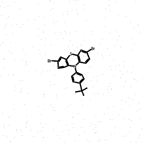 CC(C)(C)c1ccc(N2c3ccc(Br)cc3Sc3cc(Br)ccc32)cc1